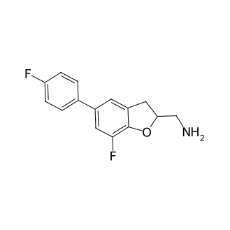 NCC1Cc2cc(-c3ccc(F)cc3)cc(F)c2O1